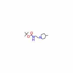 CC1CCN(CCNC(=O)OC(C)(C)C)CC1